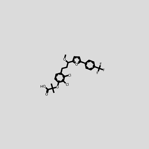 COC(CCc1ccc(OC(C)(C)C(=O)O)c(Cl)c1Cl)c1ccc(-c2ccc(C(F)(F)F)cc2)o1